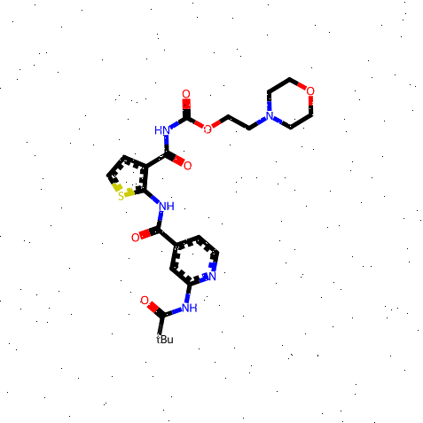 CC(C)(C)C(=O)Nc1cc(C(=O)Nc2sccc2C(=O)NC(=O)OCCN2CCOCC2)ccn1